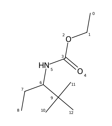 CCOC(=O)NC(CC)C(C)(C)C